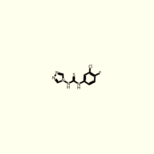 Fc1ccc(NC(=S)Nn2cnnc2)cc1Cl